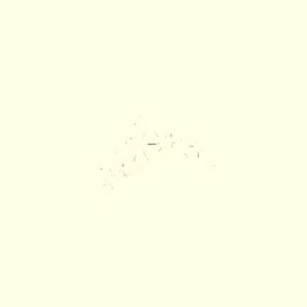 COc1ccc(NC(=O)Nc2cc(N(C)C)c3c(c2O)C(=O)C2=C(O)[C@]4(O)C(=O)C(C(N)=O)=C(O)C[C@@H]4C[C@@H]2C3)cc1